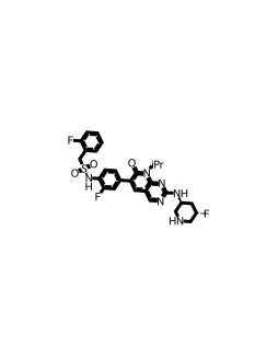 CC(C)n1c(=O)c(-c2ccc(NS(=O)(=O)Cc3ccccc3F)c(F)c2)cc2cnc(N[C@@H]3CNC[C@@H](F)C3)nc21